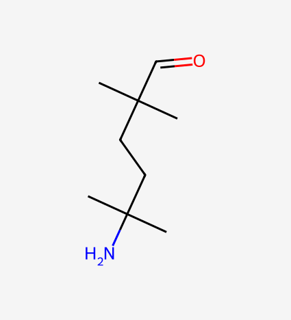 CC(C)(N)CCC(C)(C)C=O